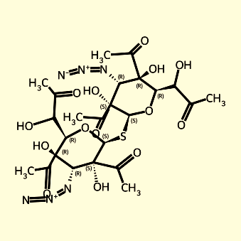 CC(=O)C(O)[C@H]1O[C@@H](S[C@@H]2O[C@H](C(O)C(C)=O)[C@@](O)(C(C)=O)[C@@H](N=[N+]=[N-])[C@]2(O)C(C)=O)[C@@](O)(C(C)=O)[C@H](N=[N+]=[N-])[C@]1(O)C(C)=O